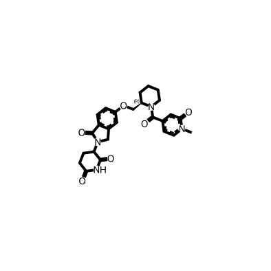 Cn1ccc(C(=O)N2CCCC[C@@H]2COc2ccc3c(c2)CN(C2CCC(=O)NC2=O)C3=O)cc1=O